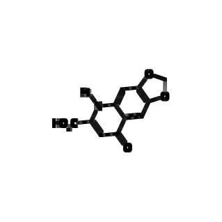 CCn1c(C(=O)O)cc(=O)c2cc3c(cc21)OCO3